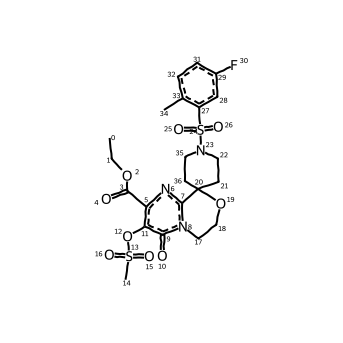 CCOC(=O)c1nc2n(c(=O)c1OS(C)(=O)=O)CCOC21CCN(S(=O)(=O)c2cc(F)ccc2C)CC1